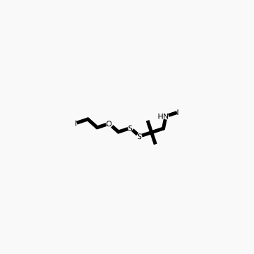 CC(C)(CNI)SSCOCCI